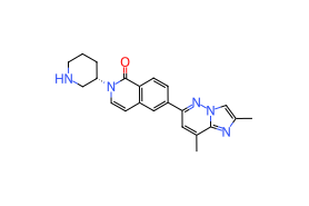 Cc1cn2nc(-c3ccc4c(=O)n([C@H]5CCCNC5)ccc4c3)cc(C)c2n1